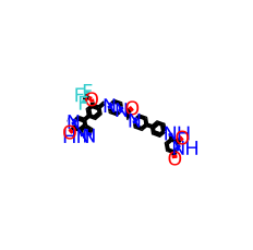 Cn1cc(-c2ccc(CN3CCN(C(=O)CN4CCC(c5ccc(NC6CCC(=O)NC6=O)cc5)CC4)CC3)c(OC(F)(F)F)c2)c2cn[nH]c2c1=O